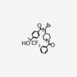 C[C@](O)(c1ccc(C(=O)N(C2CC2)C2CCN(C(=O)c3ccccc3)CC2)cc1)C(F)(F)F